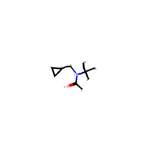 CC(=O)N(CC1CC1)C(C)(C)C